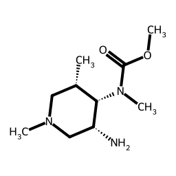 COC(=O)N(C)[C@@H]1[C@H](N)CN(C)C[C@@H]1C